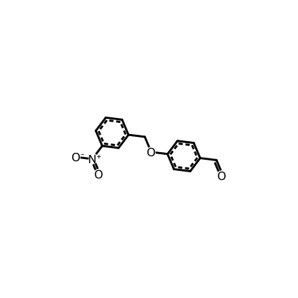 O=Cc1ccc(OCc2cccc([N+](=O)[O-])c2)cc1